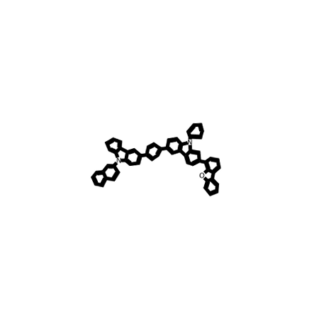 c1ccc(-n2c3ccc(-c4ccc(-c5ccc6c(c5)c5ccccc5n6-c5ccc6ccccc6c5)cc4)cc3c3ccc(-c4cccc5c4oc4ccccc45)cc32)cc1